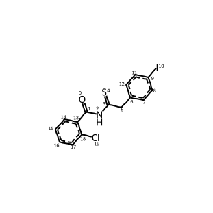 O=C(NC(=S)Cc1ccc(I)cc1)c1ccccc1Cl